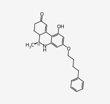 C[C@@H]1Nc2cc(OCCCCc3ccccc3)cc(O)c2C2=CC(=O)CCC21